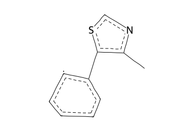 Cc1ncsc1-c1[c]cccc1